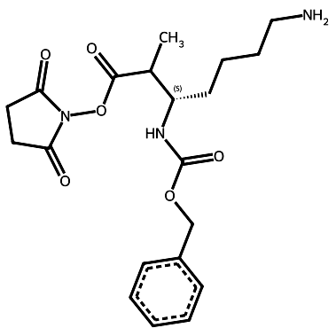 CC(C(=O)ON1C(=O)CCC1=O)[C@H](CCCCN)NC(=O)OCc1ccccc1